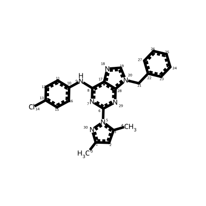 Cc1cc(C)n(-c2nc(Nc3ccc(Cl)cc3)c3ncn(Cc4ccccc4)c3n2)n1